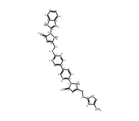 Cc1csc(SCc2cc(=O)n(-c3ccc(-c4cnc(SCc5cc(=O)n(-c6nc7ccccc7[nH]6)[nH]5)nc4)cn3)[nH]2)n1